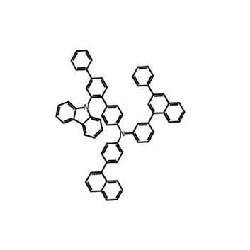 c1ccc(-c2ccc(-c3ccc(N(c4ccc(-c5cccc6ccccc56)cc4)c4cccc(-c5cc(-c6ccccc6)cc6ccccc56)c4)cc3)c(-n3c4ccccc4c4ccccc43)c2)cc1